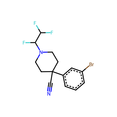 N#CC1(c2cccc(Br)c2)CCN(C(F)C(F)F)CC1